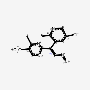 Cc1nc(/C(=C/N=N)c2cc(Cl)cnc2C)ncc1C(=O)O